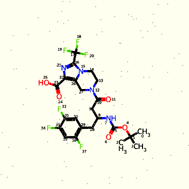 CC(C)(C)OC(=O)NC(CC(=O)N1CCn2c(C(F)(F)F)nc(C(=O)O)c2C1)Cc1cc(F)c(F)cc1F